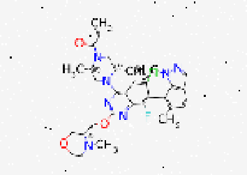 C=CC(=O)N1C[C@H](C)N(c2nc(OC[C@@H]3COCCN3C)nc3c(F)c(-c4c(C)ccc5cnn(C)c45)c(Cl)cc23)C[C@H]1C